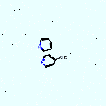 O=Cc1ccncc1.c1ccncc1